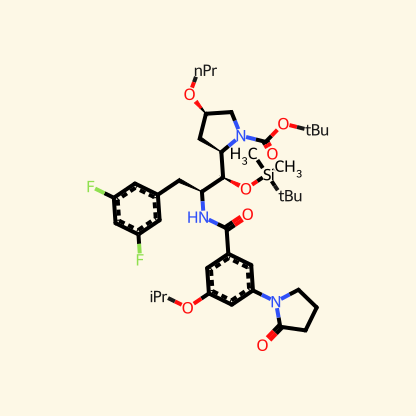 CCCO[C@@H]1C[C@H]([C@@H](O[Si](C)(C)C(C)(C)C)[C@H](Cc2cc(F)cc(F)c2)NC(=O)c2cc(OC(C)C)cc(N3CCCC3=O)c2)N(C(=O)OC(C)(C)C)C1